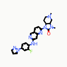 CN1CCC2C(C1)N(C)C(=O)N2c1ccc2cnc(Nc3ccc(-n4cccn4)cc3F)cc2n1